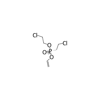 C=CO[P@](=O)(CCCl)OCCCl